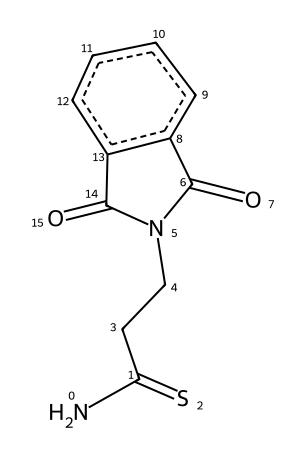 NC(=S)CCN1C(=O)c2ccccc2C1=O